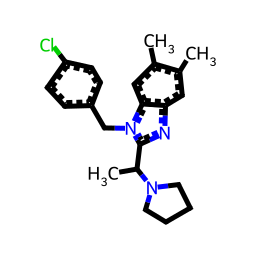 Cc1cc2nc(C(C)N3CCCC3)n(Cc3ccc(Cl)cc3)c2cc1C